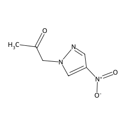 CC(=O)Cn1cc([N+](=O)[O-])cn1